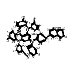 Cc1cccc(N2c3cc(C)ccc3B3c4ccc(C)cc4N(c4cccc(C)c4)c4cc(N(c5ccccc5)c5ccc(-c6ccc7ccccc7c6)cc5)cc2c43)c1